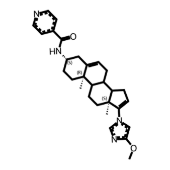 COc1cn(C2=CCC3C4CC=C5C[C@@H](NC(=O)c6ccncc6)CC[C@]5(C)C4CC[C@]23C)cn1